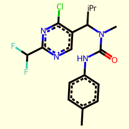 Cc1ccc(NC(=O)N(C)C(c2cnc(C(F)F)nc2Cl)C(C)C)cc1